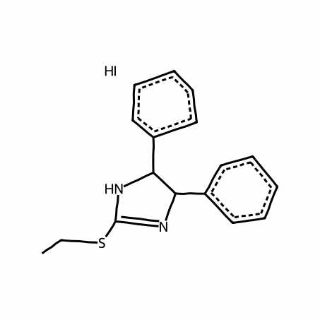 CCSC1=NC(c2ccccc2)C(c2ccccc2)N1.I